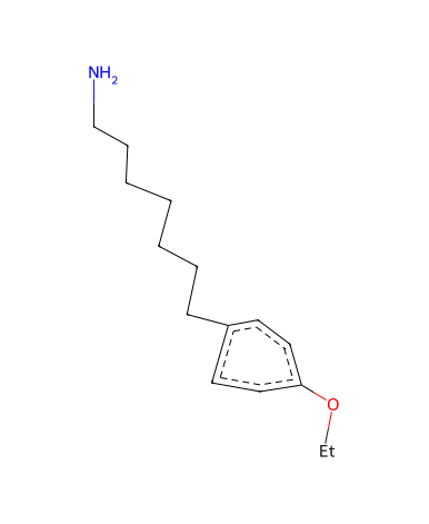 CCOc1ccc(CCCCCCCN)cc1